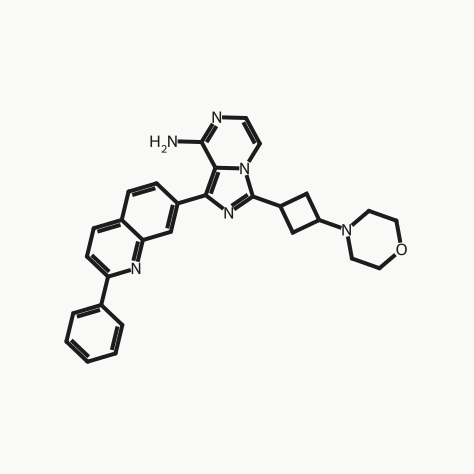 Nc1nccn2c(C3CC(N4CCOCC4)C3)nc(-c3ccc4ccc(-c5ccccc5)nc4c3)c12